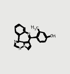 Cc1cc(O)ccc1C1=Nc2ccccc2-c2ncnn3ccc1c23